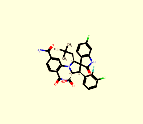 CC(C)(C)C[C@@H]1N(c2[c]c(C(N)=O)ccc2C(N)=O)[C@@H](C(=O)O)[C@H](c2cccc(Cl)c2F)C12C(=O)Nc1cc(Cl)ccc12